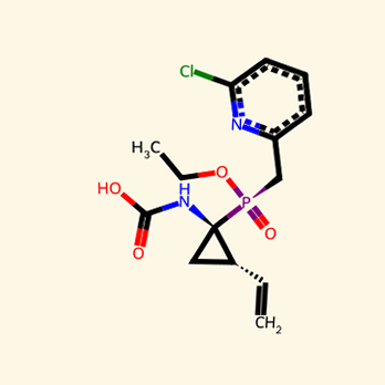 C=C[C@@H]1C[C@]1(NC(=O)O)[P@](=O)(Cc1cccc(Cl)n1)OCC